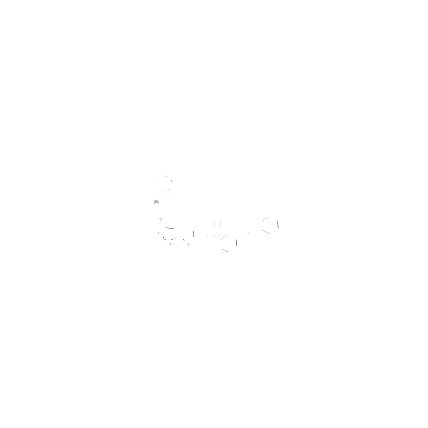 CC(C)NC(=O)O[C@@H]1CC[C@H](c2cc(NC(=O)COc3cccc(OCc4ccccc4)c3C=O)n[nH]2)C1